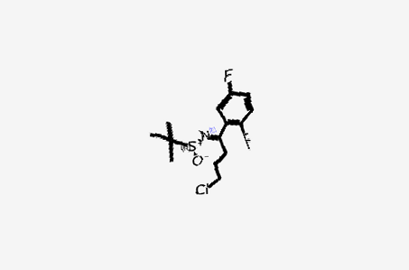 CC(C)(C)[S@+]([O-])/N=C(\CCCCl)c1cc(F)ccc1F